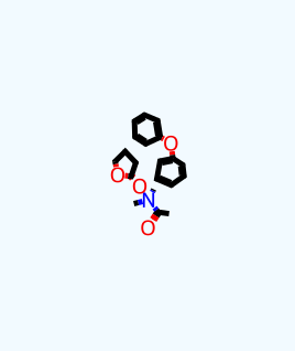 CC(=O)N(C)C.O=C1CCCO1.c1ccc(Oc2ccccc2)cc1